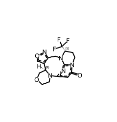 O=c1cc2nc3n1CC[C@@H](C(F)(F)F)N3Cc1nocc1[C@@H]1COCCN21